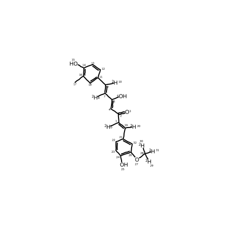 [2H]/C(C(=O)/C=C(O)/C([2H])=C(\[2H])c1ccc(O)c(C)c1)=C(/[2H])c1ccc(O)c(OC([2H])([2H])[2H])c1